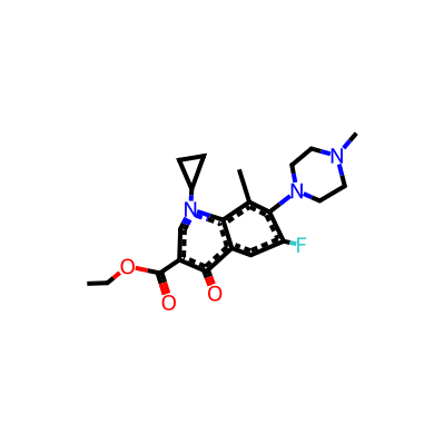 CCOC(=O)c1cn(C2CC2)c2c(C)c(N3CCN(C)CC3)c(F)cc2c1=O